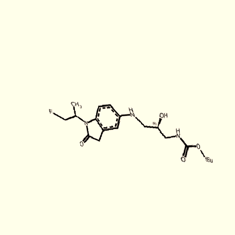 CC(CF)N1C(=O)Cc2cc(NC[C@@H](O)CNC(=O)OC(C)(C)C)ccc21